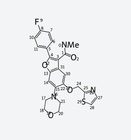 CNC(=O)c1c(-c2ccc(F)cc2)oc2cc(N3CCOCC3)c(OCc3nccs3)cc12